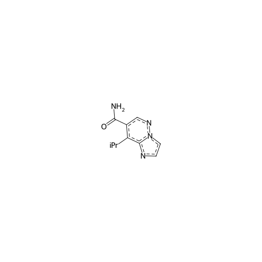 CC(C)c1c(C(N)=O)cnn2ccnc12